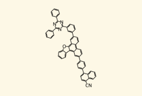 N#Cc1ccc(-c2ccc(-c3ccc4c5ccc(-c6cccc(-c7nc(-c8ccccc8)nc(-c8ccccc8)n7)c6)cc5c5oc6ccccc6c5c4c3)cc2)c2ccccc12